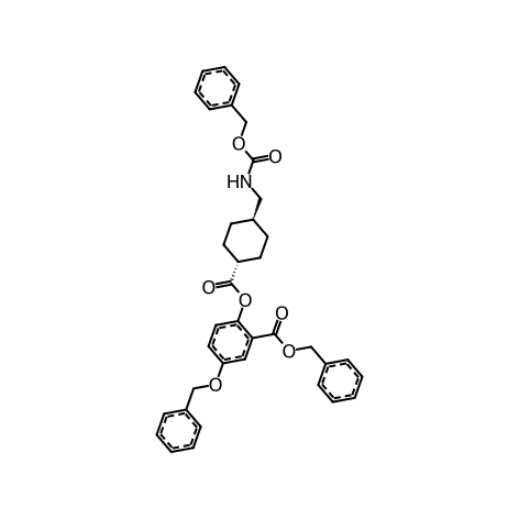 O=C(NC[C@H]1CC[C@H](C(=O)Oc2ccc(OCc3ccccc3)cc2C(=O)OCc2ccccc2)CC1)OCc1ccccc1